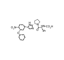 CC(C)[C@H](NC(=O)O)C(=O)N1CCC[C@H]1c1ncc(-c2ccc([N+](=O)[O-])c(Oc3ccccc3)c2)[nH]1